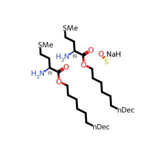 CCCCCCCCCCCCCCCCOC(=O)[C@@H](N)CCSC.CCCCCCCCCCCCCCCCOC(=O)[C@@H](N)CCSC.O=S.[NaH]